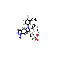 Cc1cc(-n2c(C(C)C)c([C@H]3C[C@](F)(C(=O)O)C3)c3c(F)c4[nH]ncc4cc32)ccc1F